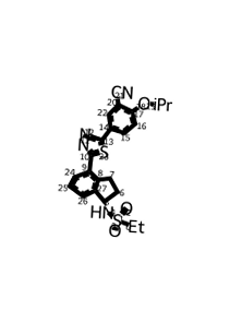 CCS(=O)(=O)N[C@H]1CCc2c(-c3nnc(-c4ccc(OC(C)C)c(C#N)c4)s3)cccc21